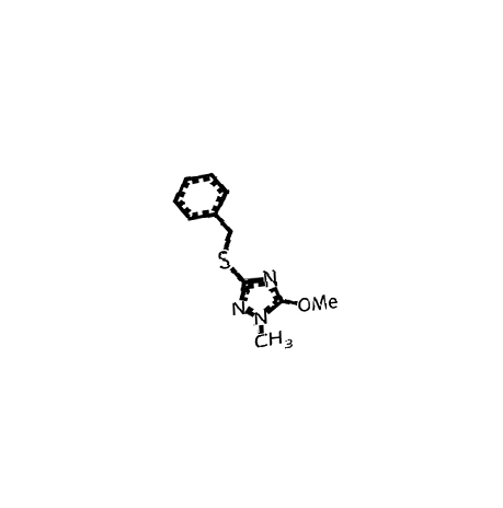 COc1nc(SCc2ccccc2)nn1C